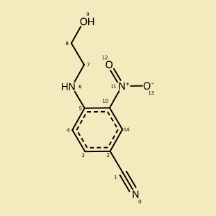 N#Cc1ccc(NCCO)c([N+](=O)[O-])c1